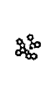 c1ccc(-c2nc(-n3c4c5c(c6ccccc6c4c4ccc6ccccc6c43)-c3ccccc3C5)nc3ccccc23)cc1